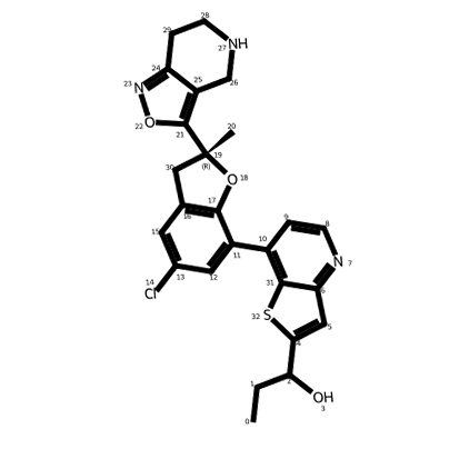 CCC(O)c1cc2nccc(-c3cc(Cl)cc4c3O[C@@](C)(c3onc5c3CNCC5)C4)c2s1